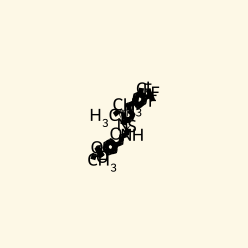 CCS(=O)(=O)c1ccc(CC(=O)Nc2nc3c(s2)CN(Cc2ccc(C(F)(F)F)c(Cl)c2)[C@@H]3C(C)C)cc1